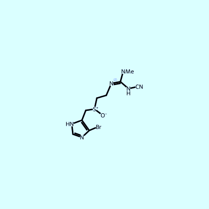 CN/C(=N/CC[S+]([O-])Cc1[nH]cnc1Br)NC#N